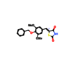 COc1cc(/C=C2\SC(=O)NC2=O)cc(OC)c1OCc1ccccc1